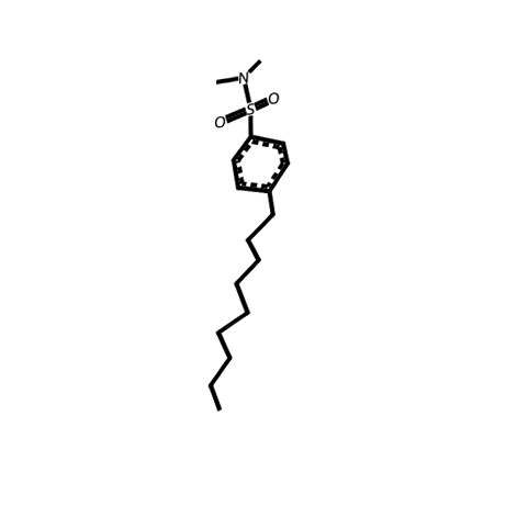 CCCCCCCCCc1ccc(S(=O)(=O)N(C)C)cc1